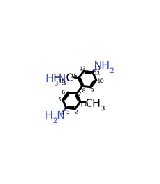 Cc1cc(N)ccc1-c1ccc(N)cc1C.N